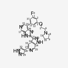 Fc1cc(OCCN2CCCC2)cc(-c2cncc3[nH]c(-c4n[nH]c5cnc(-c6cn[nH]c6)cc45)nc23)c1